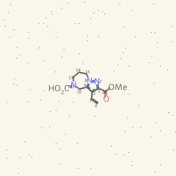 C=Cc1c(C(=O)OC)nn2c1CN(C(=O)O)CCC2